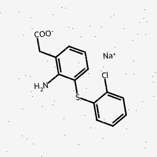 Nc1c(CC(=O)[O-])cccc1Sc1ccccc1Cl.[Na+]